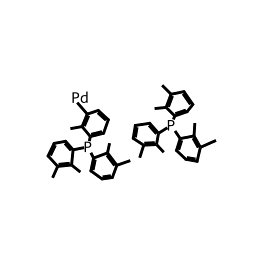 Cc1cccc(P(c2cccc(C)c2C)c2cccc(C)c2C)c1C.Cc1cccc(P(c2cccc(C)c2C)c2cccc(C)c2C)c1C.[Pd]